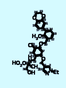 CCn1cc(COc2cc(OCc3cccc(-c4ccc5c(c4)OCCO5)c3C)c(Cl)cc2CN[C@@](C)(CO)C(=O)O)cn1